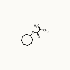 C=C(C)C(=O)OC1CCCCCCC1